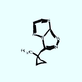 CC1(c2nnc3nccnn23)CC1